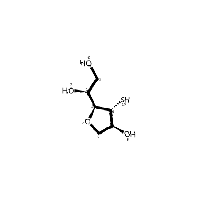 OC[C@H](O)[C@@H]1O[CH][C@H](O)[C@H]1S